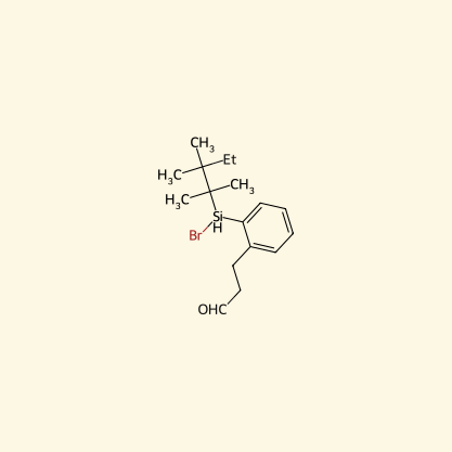 CCC(C)(C)C(C)(C)[SiH](Br)c1ccccc1CCC=O